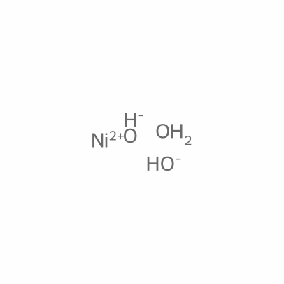 O.[Ni+2].[OH-].[OH-]